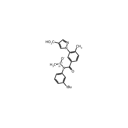 Cc1ccc(C(=O)N(c2cccc(C(C)(C)C)c2)[S@@+](C)[O-])cc1-n1cc(C(=O)O)cn1